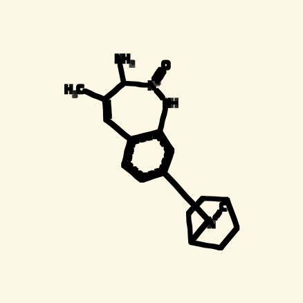 CC1=Cc2ccc(N3CC4CCC(CC4)C3)cc2N[N+](=O)C1N